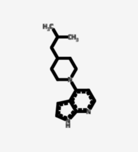 C[C](C)CC1CCN(c2ccnc3[nH]ccc23)CC1